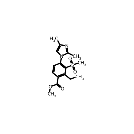 CCc1c(C(=O)OC)ccc(-n2cc(C)nc2C)c1S(C)(=O)=O